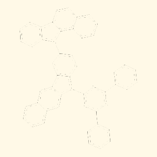 c1ccc(-c2nc(-c3ccccc3)nc(-n3c4ccc(-n5c6ccccc6c6ccc7ccccc7c65)cc4c4cc5ccccc5cc43)n2)cc1